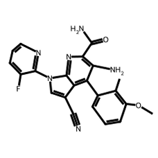 COc1cccc(-c2c(N)c(C(N)=O)nc3c2c(C#N)cn3-c2ncccc2F)c1C